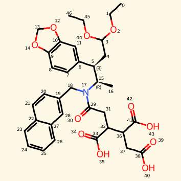 CCOC(C[C@H](c1ccc2c(c1)OCO2)[C@@H](C)N(Cc1ccc2ccccc2c1)C(=O)CC(C(=O)O)C(CC(=O)O)C(=O)O)OCC